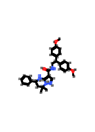 COc1ccc(C(CNC(=O)c2cnn3c2NC(c2ccccc2)CC3(C)C)c2ccc(OC)cc2)cc1